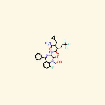 NC(=O)[C@@H](CC1CC1)[C@@H](CCC(F)(F)F)C(=O)N[C@H]1N=C(c2ccccc2)c2cccc(F)c2N(CO)C1=O